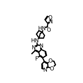 Cc1nc(NC23CCC(NC(=O)c4ccon4)(CC2)C3)nc2ccc(-c3ccnc4c3OCCO4)c(F)c12